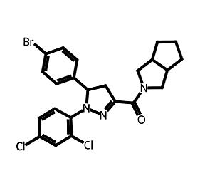 O=C(C1=NN(c2ccc(Cl)cc2Cl)C(c2ccc(Br)cc2)C1)N1CC2CCCC2C1